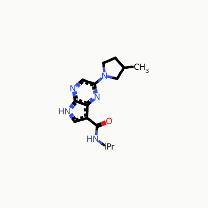 CC1CCN(c2cnc3[nH]cc(C(=O)NC(C)C)c3n2)C1